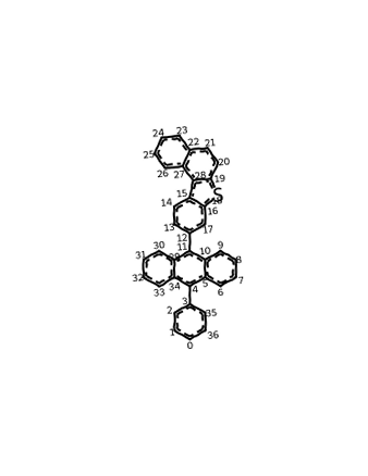 c1ccc(-c2c3ccccc3c(-c3ccc4c(c3)sc3ccc5ccccc5c34)c3ccccc23)cc1